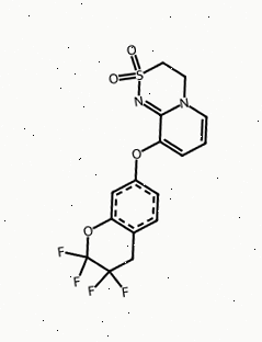 O=S1(=O)CCN2C=CC=C(Oc3ccc4c(c3)OC(F)(F)C(F)(F)C4)C2=N1